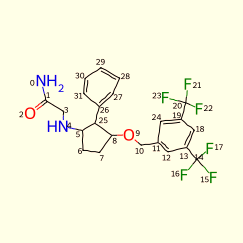 NC(=O)CNC1CCC(OCc2cc(C(F)(F)F)cc(C(F)(F)F)c2)C1c1ccccc1